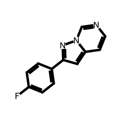 Fc1ccc(-c2cc3ccncn3n2)cc1